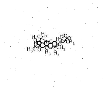 CNC(=O)C12CCC3C(CCC4[C@@]3(C)CCC3C(C)(C)[C@@H](OC(=O)CC(C)(C)C(=O)O)CC[C@@]34C)C1=C(C(C)C)C(=O)C2